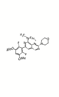 COc1cc(OC)c(F)c(-c2cc3cnc(N4CCOCC4)nc3c(N(C)C)n2)c1F